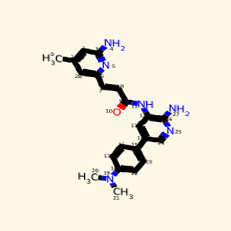 Cc1cc(N)nc(/C=C/C(=O)Nc2cc(-c3ccc(N(C)C)cc3)cnc2N)c1